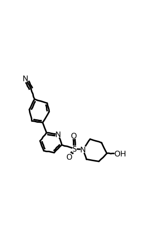 N#Cc1ccc(-c2cccc(S(=O)(=O)N3CCC(O)CC3)n2)cc1